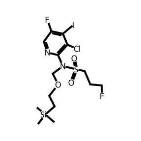 C[Si](C)(C)CCOCN(c1ncc(F)c(I)c1Cl)S(=O)(=O)CCCF